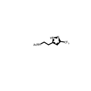 CC(=O)NCCc1[c]c(C(F)(F)F)n[nH]1